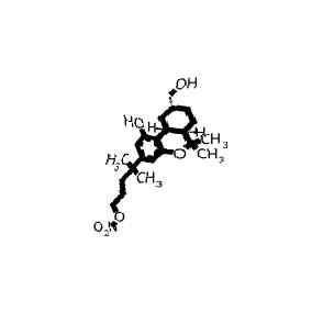 CC(C)(CCCO[N+](=O)[O-])c1cc(O)c2c(c1)OC(C)(C)[C@@H]1CC[C@@H](CO)C[C@@H]21